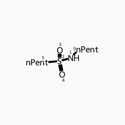 CCCCCNS(=O)(=O)CCCCC